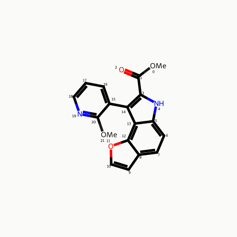 COC(=O)c1[nH]c2ccc3ccoc3c2c1-c1cccnc1OC